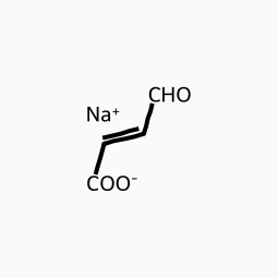 O=CC=CC(=O)[O-].[Na+]